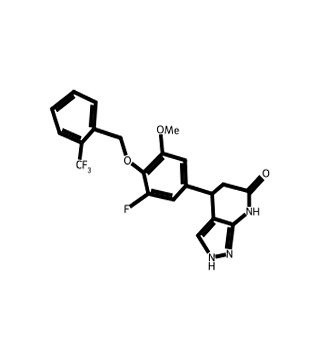 COc1cc(C2CC(=O)Nc3n[nH]cc32)cc(F)c1OCc1ccccc1C(F)(F)F